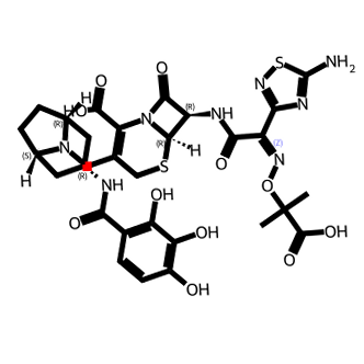 CC(C)(O/N=C(\C(=O)N[C@@H]1C(=O)N2C(C(=O)O)=C(CN3[C@@H]4CC[C@H]3C[C@@H](NC(=O)c3ccc(O)c(O)c3O)C4)CS[C@H]12)c1nsc(N)n1)C(=O)O